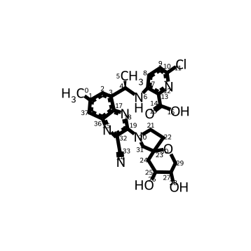 Cc1cc([C@@H](C)Nc2ccc(Cl)nc2C(=O)O)c2nc(N3CCC4(CC(O)C(O)CO4)C3)c(C#N)nc2c1